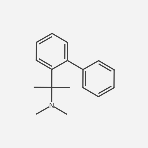 CN(C)C(C)(C)c1ccccc1-c1ccccc1